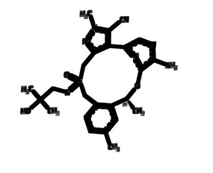 Cc1ccc2c(c1)[C@@H](C)Oc1nc(cnc1N)-c1c(nn(C)c1C#N)CS(=O)(=NCC(C)(C)O)C2